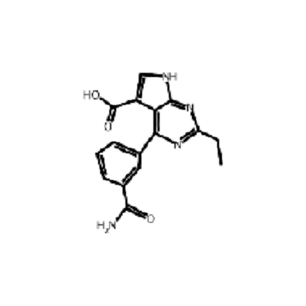 CCc1nc(-c2cccc(C(N)=O)c2)c2c(C(=O)O)c[nH]c2n1